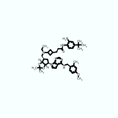 CCN(C[C@H]1C[C@@H](n2ccc3c(NCc4ccc(OC)cc4C)ncnc32)[C@@H]2OC(C)(C)O[C@H]12)C1CC(CCC(=O)Nc2ccc(C(C)(C)C)cc2N)C1